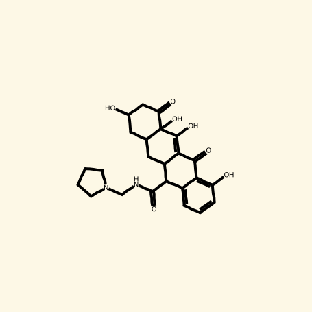 O=C1C2=C(O)C3(O)C(=O)CC(O)CC3CC2C(C(=O)NCN2CCCC2)c2cccc(O)c21